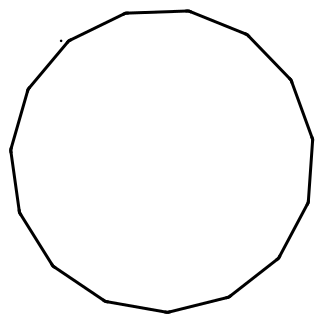 [CH]1CCCCCCCCCCCCCC1